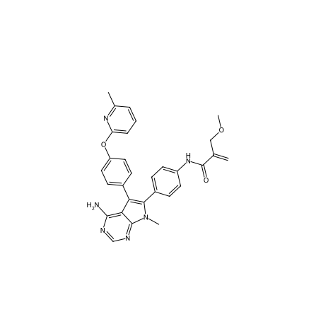 C=C(COC)C(=O)Nc1ccc(-c2c(-c3ccc(Oc4cccc(C)n4)cc3)c3c(N)ncnc3n2C)cc1